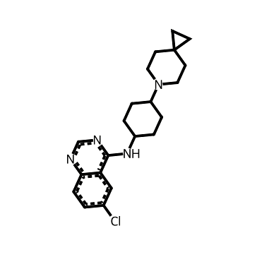 Clc1ccc2ncnc(NC3CCC(N4CCC5(CC4)CC5)CC3)c2c1